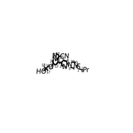 CC(C)CSN1CCN(c2ccc(-c3cc(OCC(C)(C)O)cn4ncc(C#N)c34)cn2)CC1